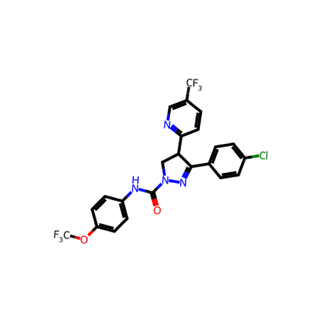 O=C(Nc1ccc(OC(F)(F)F)cc1)N1CC(c2ccc(C(F)(F)F)cn2)C(c2ccc(Cl)cc2)=N1